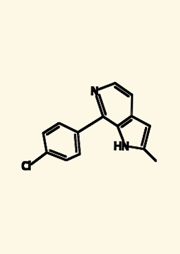 Cc1cc2ccnc(-c3ccc(Cl)cc3)c2[nH]1